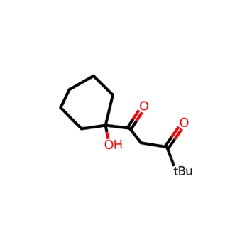 CC(C)(C)C(=O)CC(=O)C1(O)CCCCC1